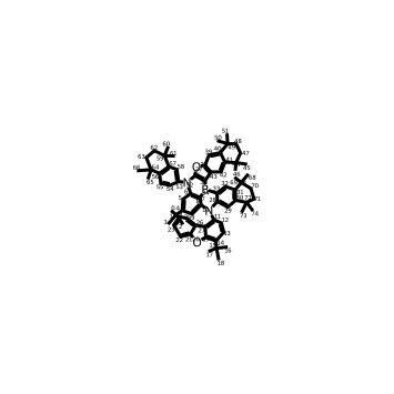 CC(C)(C)c1cc2c3c(c1)N(c1ccc(C(C)(C)C)c4oc5ccccc5c14)c1cc4c(cc1B3c1c(oc3cc5c(cc13)C(C)(C)CCC5(C)C)N2c1ccc2c(c1)C(C)(C)CCC2(C)C)C(C)(C)CCC4(C)C